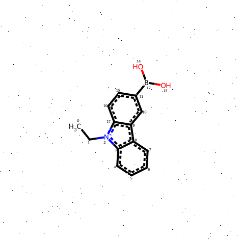 CCn1c2ccccc2c2cc(B(O)O)ccc21